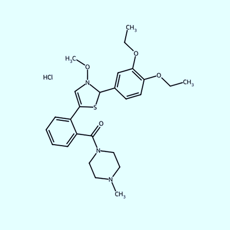 CCOc1ccc(C2SC(c3ccccc3C(=O)N3CCN(C)CC3)=CN2OC)cc1OCC.Cl